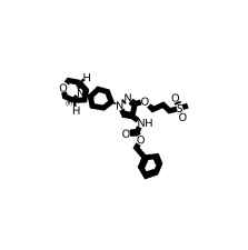 CS(=O)(=O)CCCOc1nn([C@H]2CC[C@H](N3[C@@H]4CC[C@H]3COC4)CC2)cc1NC(=O)OCc1ccccc1